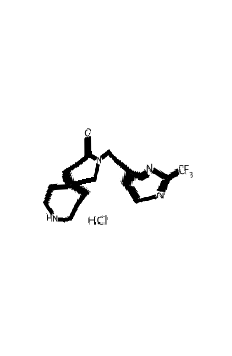 Cl.O=C1CC2(CCNCC2)CN1Cc1ccnc(C(F)(F)F)n1